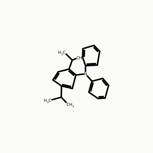 CC(C)c1ccc(C(C)C)c(N(c2ccccc2)c2ccccc2)c1